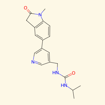 CC(C)NC(=O)NCc1cncc(-c2ccc3c(c2)CC(=O)N3C)c1